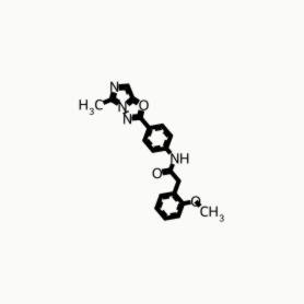 COc1ccccc1CC(=O)Nc1ccc(-c2nn3c(C)ncc3o2)cc1